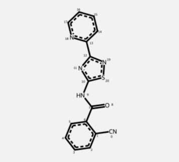 N#Cc1ccccc1C(=O)Nc1nc(-c2ccccn2)ns1